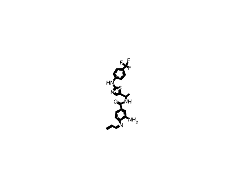 C=C/C=N\c1ccc(C(=O)NC(C)c2cnc(Nc3ccc(C(F)(F)F)cc3)s2)cc1N